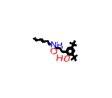 CCCCCCNC(=O)CCc1cc(C(C)(C)C)cc(C(C)(C)C)c1O